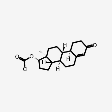 C[C@]12CC[C@H]3[C@@H](CCC4=CC(=O)CC[C@@H]43)[C@@H]1CC[C@@H]2OC(=O)Cl